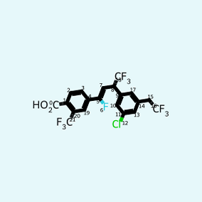 O=C(O)c1ccc(/C(F)=C/C(c2cc(Cl)cc(CC(F)(F)F)c2)C(F)(F)F)cc1C(F)(F)F